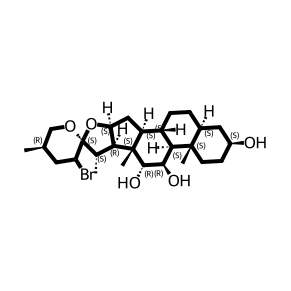 C[C@H]1CO[C@@]2(O[C@H]3C[C@H]4[C@@H]5CC[C@H]6C[C@@H](O)CC[C@]6(C)[C@H]5[C@@H](O)[C@H](O)[C@]4(C)[C@H]3[C@@H]2C)C(Br)C1